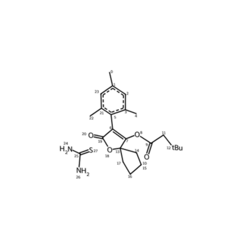 Cc1cc(C)c(C2=C(OC(=O)CC(C)(C)C)C3(CCCC3)OC2=O)c(C)c1.NC(N)=S